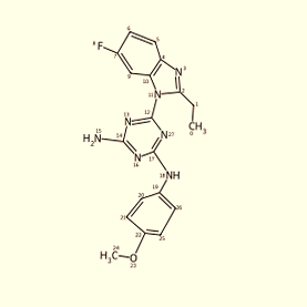 CCc1nc2ccc(F)cc2n1-c1nc(N)nc(Nc2ccc(OC)cc2)n1